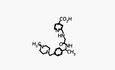 CC(NC(=O)CNCc1cc(C(=O)O)ccn1)c1ccc(CN2CCN(C)CC2)cc1